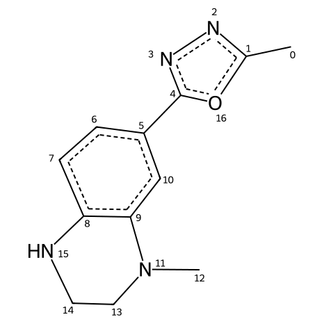 Cc1nnc(-c2ccc3c(c2)N(C)CCN3)o1